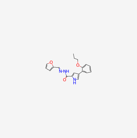 CCCOc1ccccc1-c1c[nH]c(C(=O)N/N=C/c2ccco2)c1